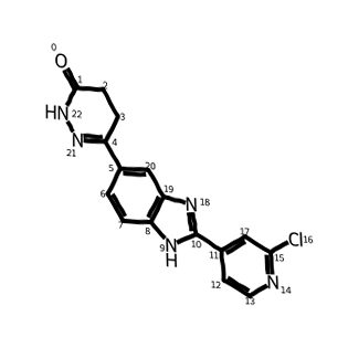 O=C1CCC(c2ccc3[nH]c(-c4ccnc(Cl)c4)nc3c2)=NN1